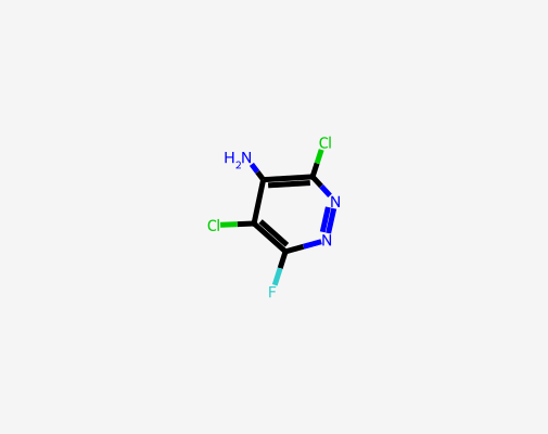 Nc1c(Cl)nnc(F)c1Cl